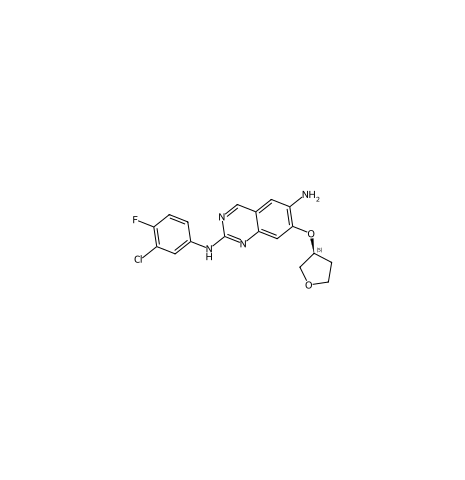 Nc1cc2cnc(Nc3ccc(F)c(Cl)c3)nc2cc1O[C@H]1CCOC1